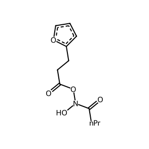 CCCC(=O)N(O)OC(=O)CCc1ccco1